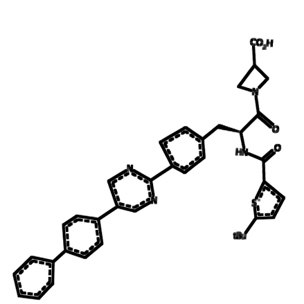 CC(C)(C)c1ccc(C(=O)N[C@@H](Cc2ccc(-c3ncc(-c4ccc(-c5ccccc5)cc4)cn3)cc2)C(=O)N2CC(C(=O)O)C2)s1